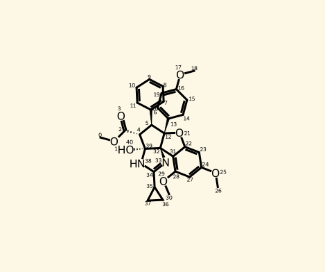 COC(=O)[C@@H]1[C@@H](c2ccccc2)[C@]2(c3ccc(OC)cc3)Oc3cc(OC)cc(OC)c3[C@@]23N=C(C2CC2)N[C@@]13O